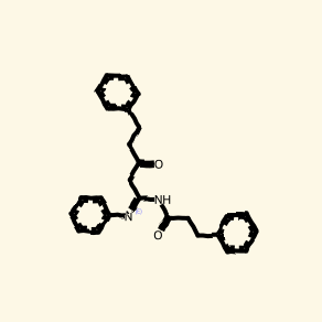 O=C(CCc1ccccc1)C/C(=N\c1ccccc1)NC(=O)CCc1ccccc1